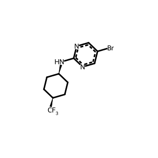 FC(F)(F)[C@H]1CC[C@@H](Nc2ncc(Br)cn2)CC1